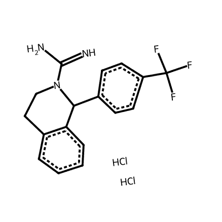 Cl.Cl.N=C(N)N1CCc2ccccc2C1c1ccc(C(F)(F)F)cc1